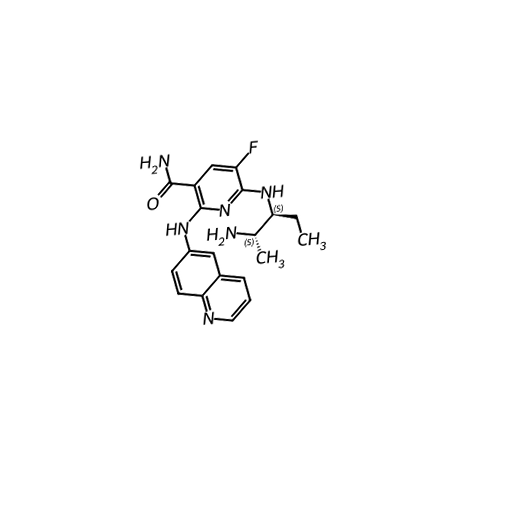 CC[C@H](Nc1nc(Nc2ccc3ncccc3c2)c(C(N)=O)cc1F)[C@H](C)N